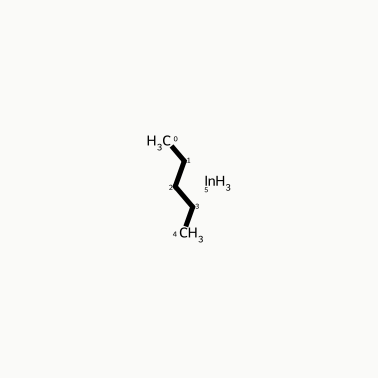 CC[CH]CC.[InH3]